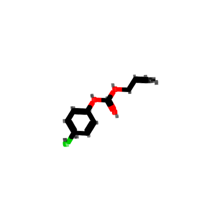 C=CCOC(=O)Oc1ccc(Cl)cc1